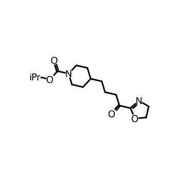 CC(C)OC(=O)N1CCC(CCCC(=O)C2=NCCO2)CC1